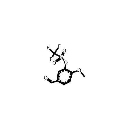 COc1ccc(C=O)cc1OS(=O)(=O)C(F)(F)F